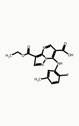 CCOC(=O)c1cnn2c(Nc3cc(C)ccc3F)c(C(=O)O)cnc12